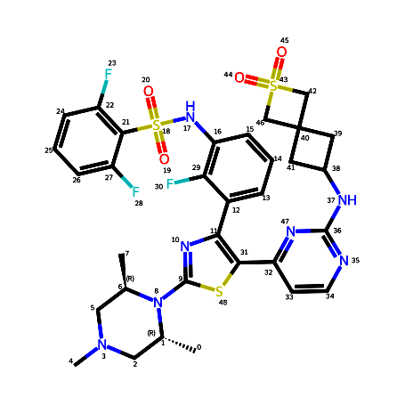 C[C@@H]1CN(C)C[C@@H](C)N1c1nc(-c2cccc(NS(=O)(=O)c3c(F)cccc3F)c2F)c(-c2ccnc(NC3CC4(C3)CS(=O)(=O)C4)n2)s1